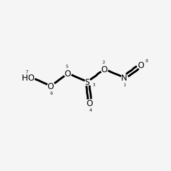 O=NOS(=O)OOO